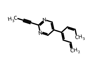 C=C/C=C(\C=C/C)c1cnc(C#CC)nc1